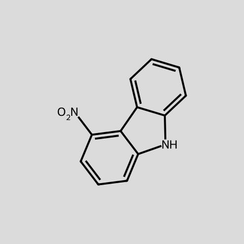 O=[N+]([O-])c1cccc2[nH]c3ccccc3c12